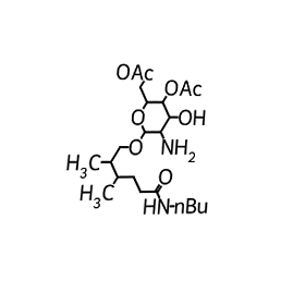 CCCCNC(=O)CCC(C)C(C)COC1OC(COC(C)=O)C(OC(C)=O)C(O)C1N